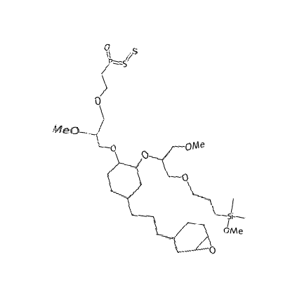 COCC(COCCC[Si](C)(C)OC)OC1CC(CCCC2CCC3OC3C2)CCC1OCC(COCCP(=O)=S=S)OC